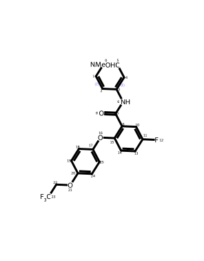 CN/C=C\C(=C/C=O)NC(=O)c1cc(F)ccc1Oc1ccc(OCC(F)(F)F)cc1